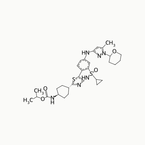 Cc1cc(Nc2ccc(-c3cnc([C@H]4CC[C@H](NC(=O)OC(C)C)CC4)s3)c(S(=N)(=O)C3CC3)c2)nn1C1CCCCO1